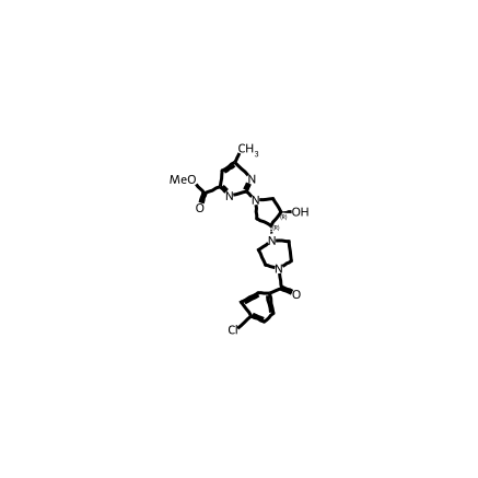 COC(=O)c1cc(C)nc(N2C[C@@H](O)[C@H](N3CCN(C(=O)c4ccc(Cl)cc4)CC3)C2)n1